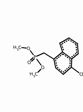 COP(=O)(Cc1ccc(Cl)c2ccccc12)OC